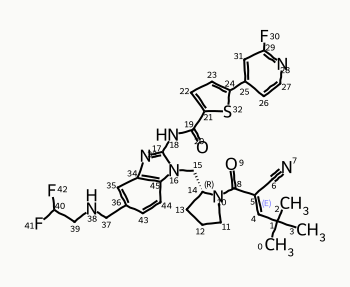 CC(C)(C)/C=C(\C#N)C(=O)N1CCC[C@@H]1Cn1c(NC(=O)c2ccc(-c3ccnc(F)c3)s2)nc2cc(CNCC(F)F)ccc21